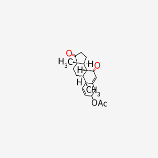 CC(=O)O[C@H]1C=C[C@@]2(C)C(=CC(=O)[C@@H]3[C@@H]2CC[C@]2(C)C(=O)CC[C@@H]32)C1